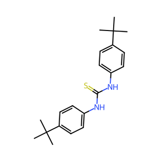 CC(C)(C)c1ccc(NC(=S)Nc2ccc(C(C)(C)C)cc2)cc1